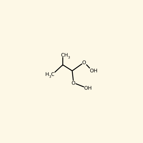 C[C](C)C(OO)OO